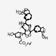 C[C@H](NC(=O)c1ccc2c(c1)B(O)OC2)[C@H](NC(=O)c1ccc2c(c1)B(O)OC2)C(=O)N1CC(O)C[C@H]1CC(=O)O